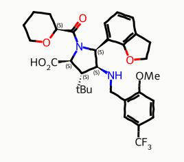 COc1ccc(C(F)(F)F)cc1CN[C@H]1[C@H](C(C)(C)C)[C@@H](C(=O)O)N(C(=O)[C@@H]2CCCCO2)[C@H]1c1cccc2c1OCC2